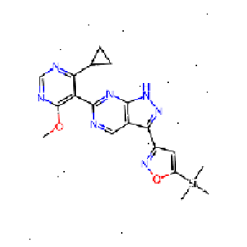 COc1ncnc(C2CC2)c1-c1ncc2c(-c3cc([Si](C)(C)C)on3)n[nH]c2n1